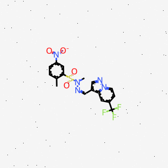 Cc1ccc([N+](=O)[O-])cc1S(=O)(=O)N(C)/N=C\c1cnn2ccc(C(F)(F)F)cc12